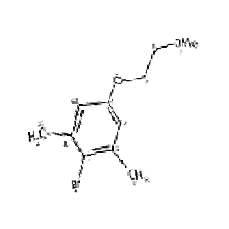 COCCOc1cc(C)c(Br)c(C)c1